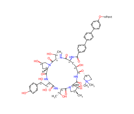 CCCCCOc1ccc(-c2ccc(-c3ccc(C(=O)N[C@H]4C[C@@H](O)[C@@H](O[C@@H]5CC[N+](C)(C)C5)NC(=O)[C@@H]5[C@@H](O)[C@@H](C)CN5C(=O)[C@H]([C@@H](C)O)NC(=O)[C@H]([C@H](O)[C@@H](O)c5ccc(O)cc5)NC(=O)[C@@H]5C[C@@H](O)CN5C(=O)[C@H]([C@@H](C)O)NC4=O)cc3)cc2)cc1